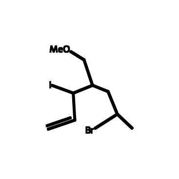 C=CC(I)C(COC)CC(C)Br